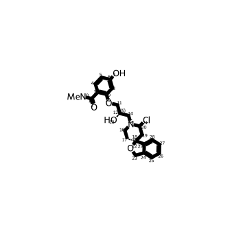 CNC(=O)c1ccc(O)cc1OC[C@@H](O)CN1CC[C@@]2(CC1Cl)OCc1ccccc12